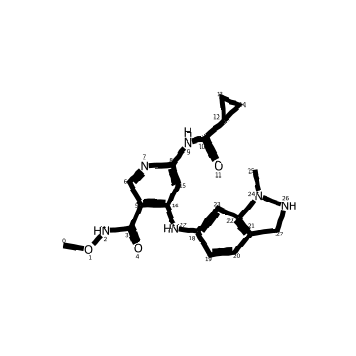 CONC(=O)c1cnc(NC(=O)C2CC2)cc1Nc1ccc2c(c1)N(C)NC2